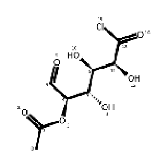 CC(=O)O[C@@H](C=O)[C@@H](O)[C@@H](O)[C@H](O)C(=O)Cl